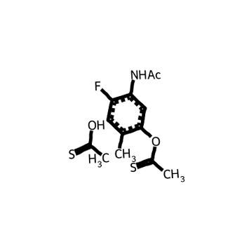 CC(=O)Nc1cc(OC(C)=S)c(C)cc1F.CC(O)=S